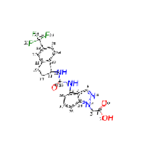 O=C(O)Cn1ncc2c(NC(=O)NC3CCc4cc(C(F)(F)F)ccc43)cccc21